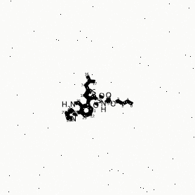 CCCCOC(=O)NS(=O)(=O)c1sc(CC(C)C)cc1-c1cccc(-n2cccn2)c1CN